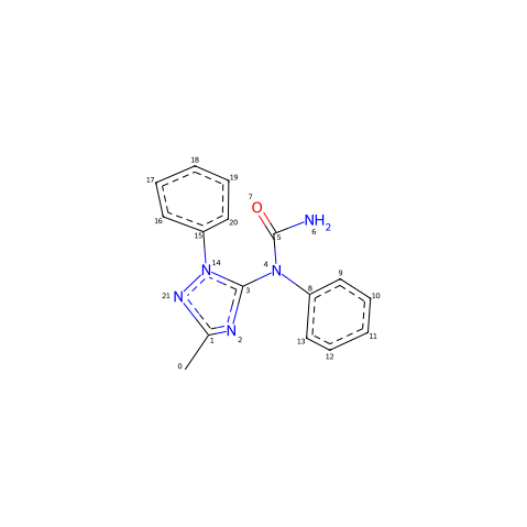 Cc1nc(N(C(N)=O)c2ccccc2)n(-c2ccccc2)n1